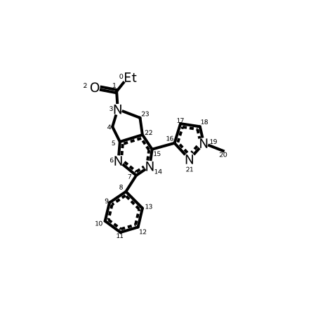 CCC(=O)N1Cc2nc(-c3ccccc3)nc(-c3ccn(C)n3)c2C1